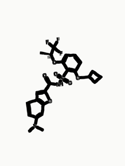 C[C@H](Oc1cccc(OC2CCC2)c1S(=O)(=O)NC(=O)c1cc2ccc(N(C)C)cc2o1)C(F)(F)F